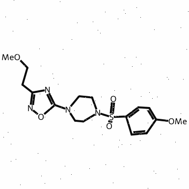 COCCc1noc(N2CCN(S(=O)(=O)c3ccc(OC)cc3)CC2)n1